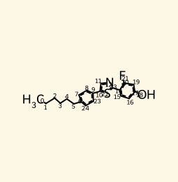 CCCCCCc1ccc(-c2cnc(-c3ccc(O)cc3F)s2)cc1